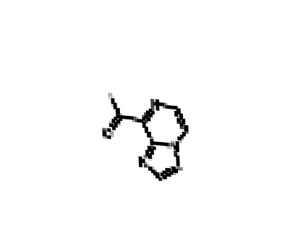 CC(=O)c1nccn2ccnc12